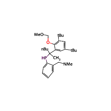 CCCCC(C)(Pc1ccccc1CNC)c1cc(C(C)(C)C)cc(C(C)(C)C)c1OCOC